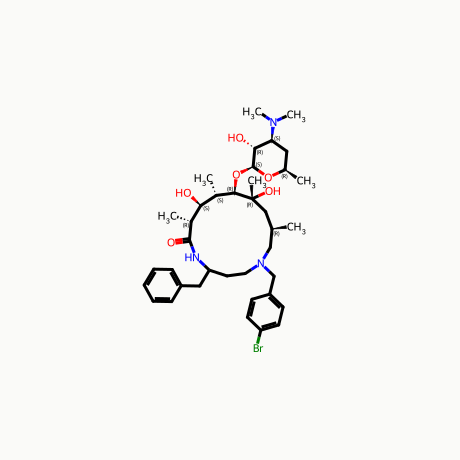 C[C@H]1CN(Cc2ccc(Br)cc2)CCC(Cc2ccccc2)NC(=O)[C@H](C)[C@@H](O)[C@H](C)[C@@H](O[C@@H]2O[C@H](C)C[C@H](N(C)C)[C@H]2O)[C@](C)(O)C1